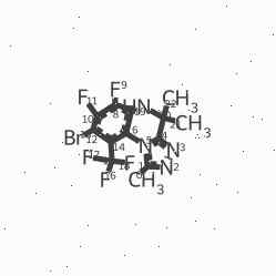 Cc1nnc2n1-c1c(c(F)c(F)c(Br)c1C(F)(F)F)NC2(C)C